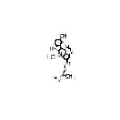 CN(C)CCCOc1ccc2c(-c3c(O)[nH]c4ccc(C#N)cc34)ncnc2c1.Cl